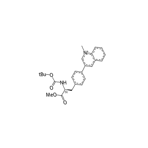 COC(=O)[C@H](Cc1ccc(-c2cc3ccccc3[n+](C)c2)cc1)NC(=O)OC(C)(C)C